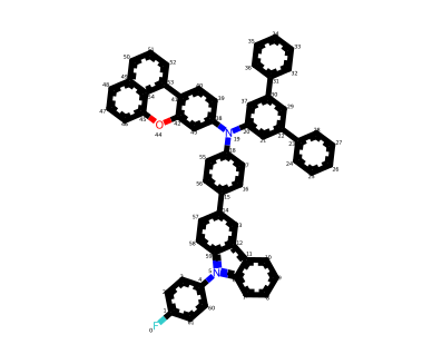 Fc1ccc(-n2c3ccccc3c3cc(-c4ccc(N(c5cc(-c6ccccc6)cc(-c6ccccc6)c5)c5ccc6c(c5)Oc5cccc7cccc-6c57)cc4)ccc32)cc1